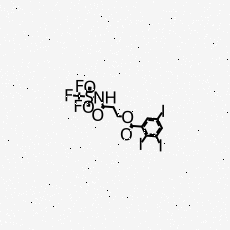 O=C(CCOC(=O)c1cc(I)cc(I)c1I)NS(=O)(=O)C(F)(F)F